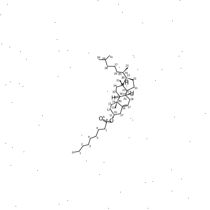 CCCCCCCCC(=O)O[C@H]1CC[C@@]2(C)C(=CC[C@H]3[C@@H]4CC[C@H]([C@H](C)CCCC(C)C)[C@@]4(C)CC[C@@H]32)C1